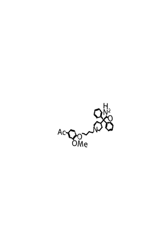 COc1cc(C(C)=O)ccc1OCCCCN1CCC(C(C(N)=O)(c2ccccc2)c2ccccc2)CC1